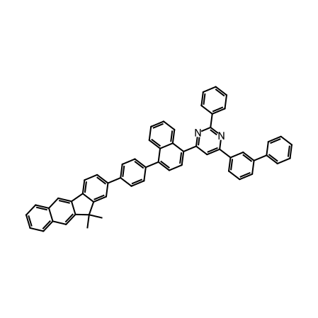 CC1(C)c2cc(-c3ccc(-c4ccc(-c5cc(-c6cccc(-c7ccccc7)c6)nc(-c6ccccc6)n5)c5ccccc45)cc3)ccc2-c2cc3ccccc3cc21